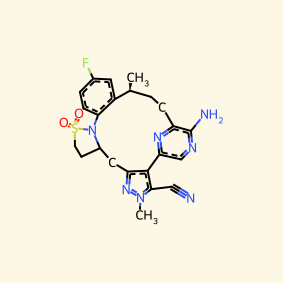 C[C@H]1CCc2nc(cnc2N)-c2c(nn(C)c2C#N)CC2CCS(=O)(=O)N2c2ccc(F)cc21